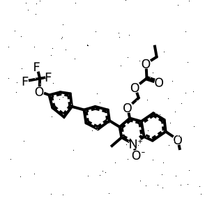 CCOC(=O)OCOc1c(-c2ccc(-c3ccc(OC(F)(F)F)cc3)cc2)c(C)[n+]([O-])c2cc(OC)ccc12